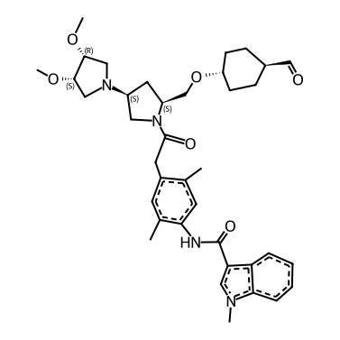 CO[C@H]1CN([C@H]2C[C@@H](CO[C@H]3CC[C@H](C=O)CC3)N(C(=O)Cc3cc(C)c(NC(=O)c4cn(C)c5ccccc45)cc3C)C2)C[C@H]1OC